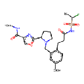 CCCCCCCCNC(=O)c1coc(C2CCCN2Cc2cc(OC)ccc2CCC(=O)NS(=O)(=O)C(F)CC)n1